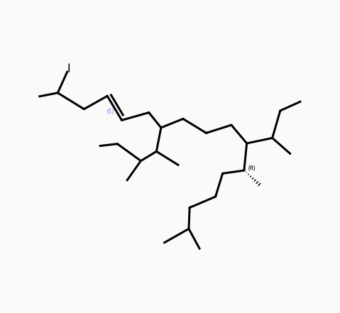 CCC(C)C(C)C(C/C=C/CC(C)I)CCCC(C(C)CC)[C@H](C)CCCC(C)C